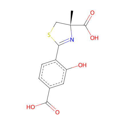 C[C@]1(C(=O)O)CSC(c2ccc(C(=O)O)cc2O)=N1